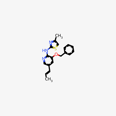 CC=Cc1cnc(Nc2nc(C)cs2)c(OCc2ccccc2)c1